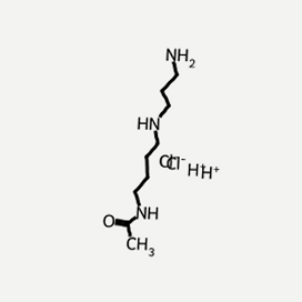 CC(=O)NCCCCNCCCN.[Cl-].[Cl-].[H+].[H+]